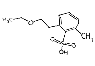 CCOCCc1cccc(C)c1S(=O)(=O)O